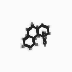 O=[PH]1CC=Cc2ncc3ccccc3c21